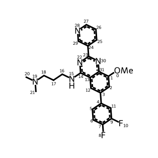 COc1cc(-c2ccc(F)c(F)c2)cc2c(NCCCN(C)C)nc(-c3cccnc3)nc12